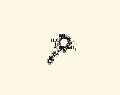 B[C@@H]1CC(=O)[C@](C)(F)C(=O)O[C@H](CC)[C@@]2(C)OC(=O)N(CCCCn3cc(-c4nc5ccccc5s4)nn3)[C@@H]2[C@@H](C)NC[C@H](C)C[C@@]1(C)OC